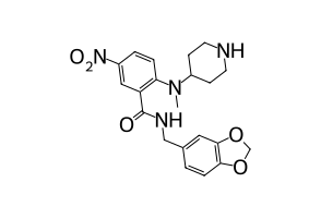 CN(c1ccc([N+](=O)[O-])cc1C(=O)NCc1ccc2c(c1)OCO2)C1CCNCC1